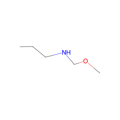 CCCNCOC